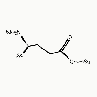 CN[C@@H](CCC(=O)OC(C)(C)C)C(C)=O